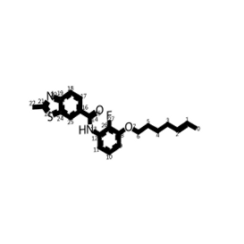 CC=CCCCCOc1cccc(NC(=O)c2ccc3nc(C)sc3c2)c1F